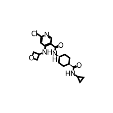 O=C(N[C@H]1CC[C@H](C(=O)NC2CC2)CC1)c1cnc(Cl)cc1NC1COC1